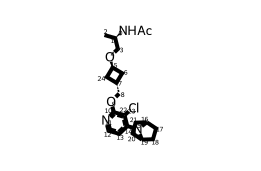 CC(=O)N[C@@H](C)CO[C@H]1C[C@H](COc2nccc(N3C4CCC3CC4)c2Cl)C1